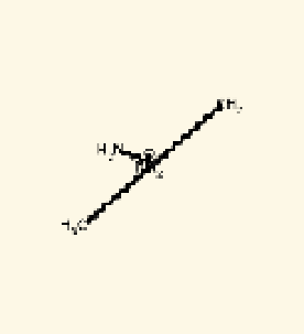 CCCCCCCCCCCCCCCCCCN(CCCCCCCCCCCCCCCCCC)C(=O)C(N)CCCCN